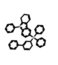 C1=Cc2c(n(-c3ccccc3)c3ccc([Si](c4ccccc4)(c4ccccc4)C4C=C(c5ccccc5)C=CC4)cc23)CC1